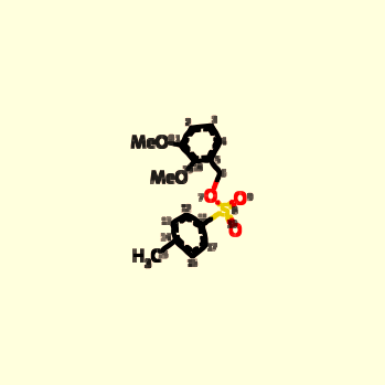 COc1cccc(COS(=O)(=O)c2ccc(C)cc2)c1OC